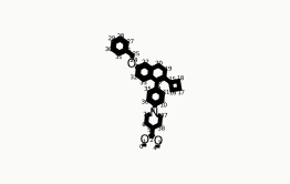 COC(OC)C1CCN(c2ccc(C3=C(C4CCC4)CCc4cc(OCc5ccccc5)ccc43)cc2)CC1